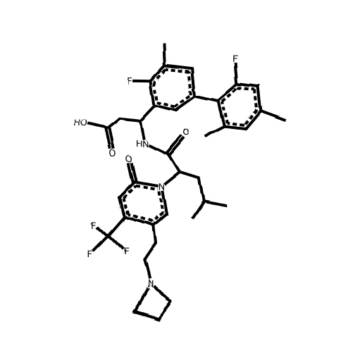 Cc1cc(C)c(-c2cc(C)c(F)c(C(CC(=O)O)NC(=O)C(CC(C)C)n3cc(CCN4CCC4)c(C(F)(F)F)cc3=O)c2)c(F)c1